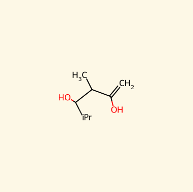 C=C(O)C(C)C(O)C(C)C